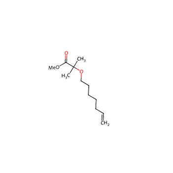 C=CCCCCCOC(C)(C)C(=O)OC